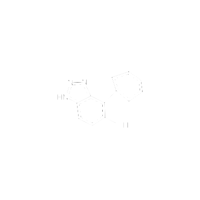 Oc1ccc2[nH]nnc2c1-c1ccccc1